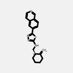 C=C1CCCC[C@H]1CNc1nnc(-c2ccc3cnccc3c2)s1